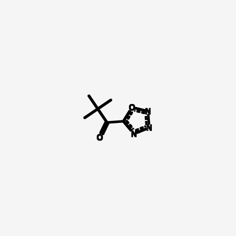 CC(C)(C)C(=O)c1nnno1